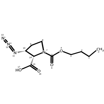 CCCCOC(=O)N1CC[C@@H](N=[N+]=[N-])[C@H]1C(=O)O